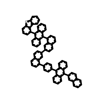 c1ccc2cc(-c3c4ccccc4c(-c4ccc(-c5cccc6ccc(-c7ccc8cccc(-c9c%10ccccc%10c(-c%10cccc%11oc%12ccccc%12c%10%11)c%10ccccc9%10)c8c7)cc56)cc4)c4ccccc34)ccc2c1